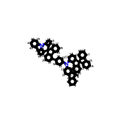 CC1(C)c2ccccc2-c2ccc(N(c3ccc(-c4cccc5c4-c4ccccc4C54c5ccccc5-n5c6ccccc6c6cccc4c65)cc3)c3cccc4c3-c3ccccc3C4(c3ccccc3)c3ccccc3)cc21